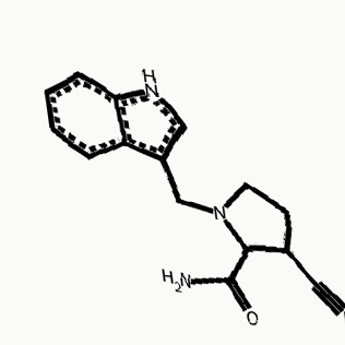 N#C[C]1CCN(Cc2c[nH]c3ccccc23)C1C(N)=O